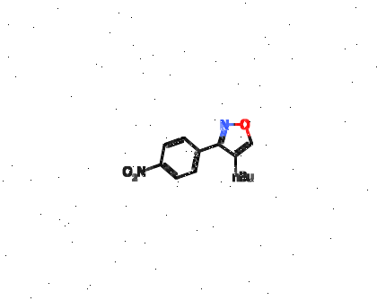 CCCCc1conc1-c1ccc([N+](=O)[O-])cc1